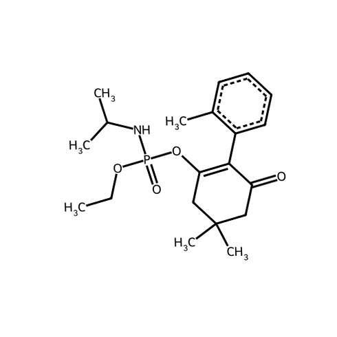 CCOP(=O)(NC(C)C)OC1=C(c2ccccc2C)C(=O)CC(C)(C)C1